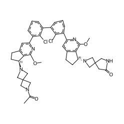 COc1nc(-c2cccc(-c3cccc(-c4cc5c(c(OC)n4)[C@@H](N4CC6(CN(C(C)=O)C6)C4)CC5)c3Cl)c2Cl)cc2c1[C@H](N1CC3(CNC(=O)C3)C1)CC2